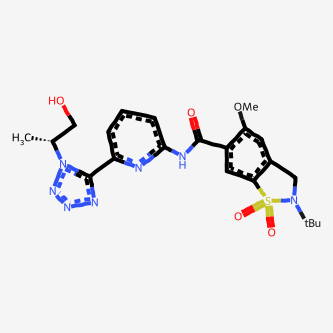 COc1cc2c(cc1C(=O)Nc1cccc(-c3nnnn3[C@H](C)CO)n1)S(=O)(=O)N(C(C)(C)C)C2